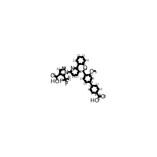 COc1cc(-c2ccc(C(=O)O)cc2)ccc1COc1ccccc1-c1cccc(-n2ncc(C(=O)O)c2C(F)(F)F)n1